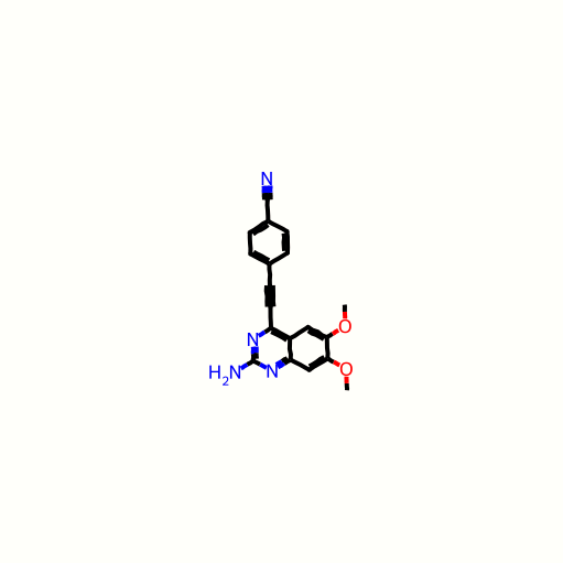 COc1cc2nc(N)nc(C#Cc3ccc(C#N)cc3)c2cc1OC